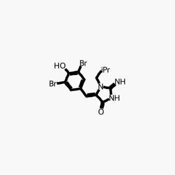 CC(C)CN1C(=N)NC(=O)/C1=C/c1cc(Br)c(O)c(Br)c1